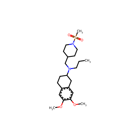 CCCN(CC1CCN(S(C)(=O)=O)CC1)C1CCc2cc(OC)c(OC)cc2C1